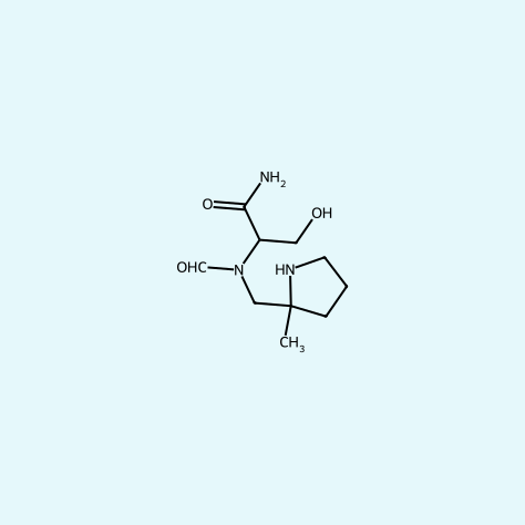 CC1(CN(C=O)C(CO)C(N)=O)CCCN1